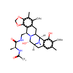 COc1c(C)cc2c(c1O)[C@@H]1C3Cc4c(OC(C)=O)c(C)c5c(c4[C@H](CNC(=O)[C@H](C)NC(=O)C(F)(F)F)N3[C@@H](O)[C@H](C2)N1C)OCO5